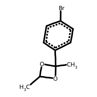 CC1OC(C)(c2ccc(Br)cc2)O1